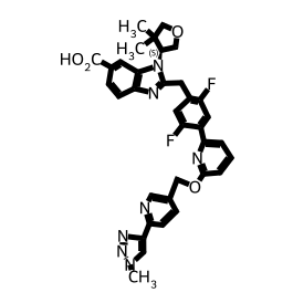 Cn1cc(-c2ccc(COc3cccc(-c4cc(F)c(Cc5nc6ccc(C(=O)O)cc6n5[C@@H]5COCC5(C)C)cc4F)n3)cn2)nn1